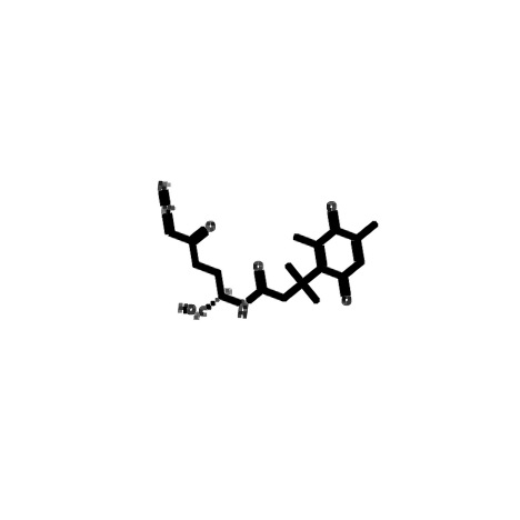 CC1=CC(=O)C(C(C)(C)CC(=O)N[C@@H](CCC(=O)C=[N+]=[N-])C(=O)O)=C(C)C1=O